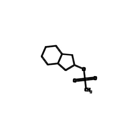 CS(=O)(=O)OC1CC2CCCCC2C1